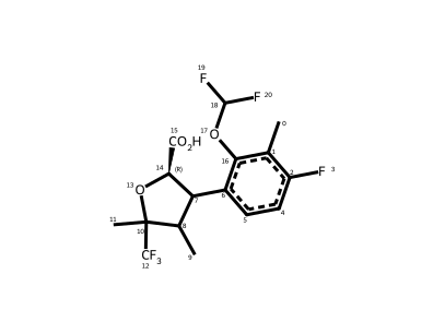 Cc1c(F)ccc(C2C(C)C(C)(C(F)(F)F)O[C@H]2C(=O)O)c1OC(F)F